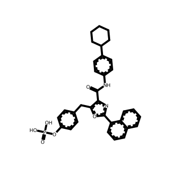 O=C(Nc1ccc(C2CCCCC2)cc1)c1nc(-c2cccc3ccccc23)oc1Cc1ccc(OP(=O)(O)O)cc1